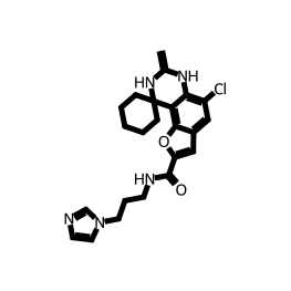 C=C1Nc2c(Cl)cc3cc(C(=O)NCCCn4ccnc4)oc3c2C2(CCCCC2)N1